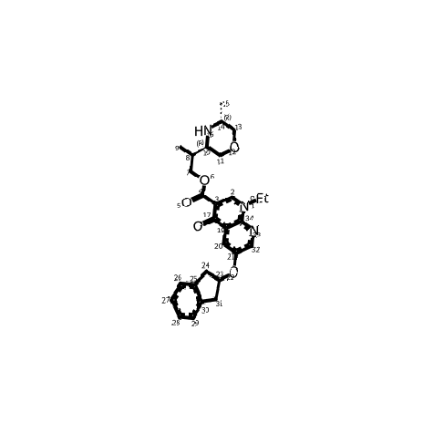 CCn1cc(C(=O)OCC(C)[C@@H]2COC[C@@H](C)N2)c(=O)c2cc(OC3Cc4ccccc4C3)cnc21